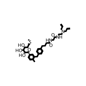 C=CCN(CC=C)CCNC(=O)CNC(=O)CCCc1ccc(Cc2cc([C@@H]3OC(C#SC)[C@@H](O)[C@H](O)[C@H]3O)ccc2C)cc1